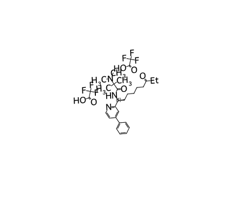 CCC(=O)CCCCC[C@H](NC(=O)C(C)(C)N(C)C)c1cc(-c2ccccc2)ccn1.O=C(O)C(F)(F)F.O=C(O)C(F)(F)F